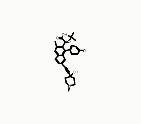 Cc1cc2ccc(C#CC3(O)CCN(C)CC3)cc2c(-c2ccc(Cl)cc2)c1C(OC(C)(C)C)C(=O)O